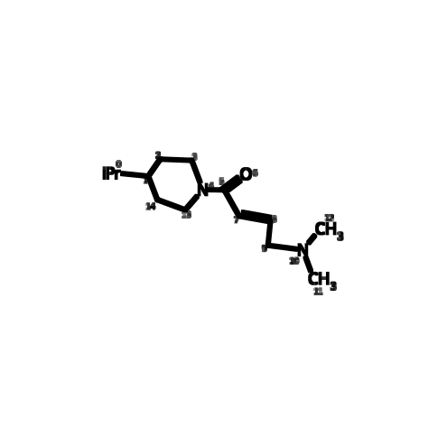 CC(C)C1CCN(C(=O)/C=C/CN(C)C)CC1